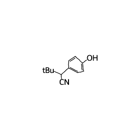 CC(C)(C)C(C#N)c1ccc(O)cc1